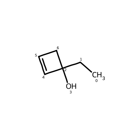 CCC1(O)C=CC1